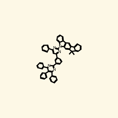 CC1(C)c2ccccc2-c2cc3c4ccccc4n(-c4nc(-c5ccccc5)cc(-c5cccc(-c6nc(-c7ccccc7)c(-c7ccccc7)c(-c7ccccc7)n6)c5)n4)c3cc21